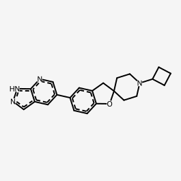 c1cc2c(cc1-c1cnc3[nH]ncc3c1)CC1(CCN(C3CCC3)CC1)O2